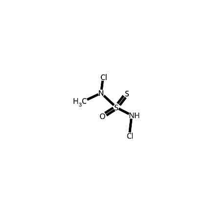 CN(Cl)S(=O)(=S)NCl